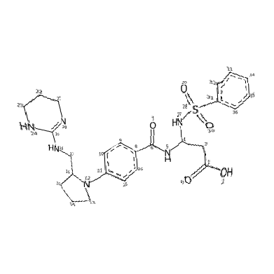 O=C(O)CC(NC(=O)c1ccc(N2CCCC2CNC2=NCCCN2)cc1)NS(=O)(=O)c1ccccc1